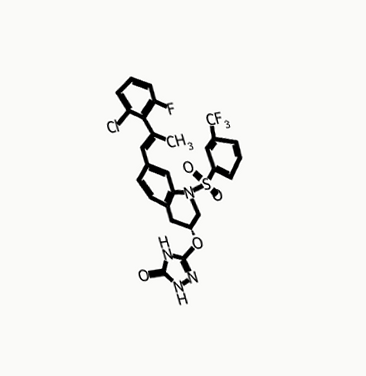 CC(=Cc1ccc2c(c1)N(S(=O)(=O)c1cccc(C(F)(F)F)c1)C[C@H](Oc1n[nH]c(=O)[nH]1)C2)c1c(F)cccc1Cl